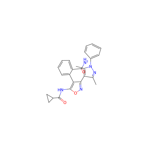 Cc1nn(-c2ccccc2)c(C)c1-c1noc(NC(=O)C2CC2)c1-c1ccccc1C(N)=O